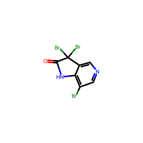 O=C1Nc2c(Br)cncc2C1(Br)Br